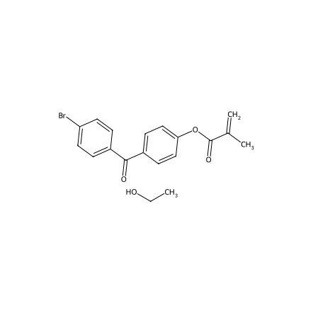 C=C(C)C(=O)Oc1ccc(C(=O)c2ccc(Br)cc2)cc1.CCO